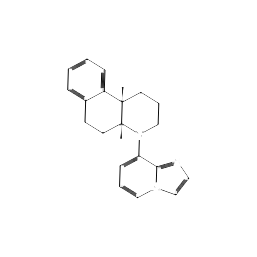 [c]1ccn2ccnc2c1N1CCC[C@H]2c3ccccc3CC[C@H]21